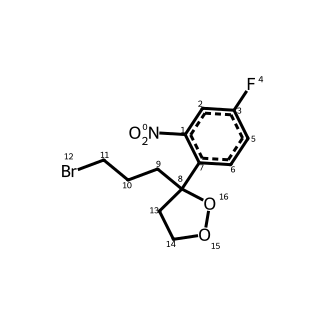 O=[N+]([O-])c1cc(F)ccc1C1(CCCBr)CCOO1